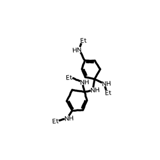 CCNC1=CCC(NCC)(NC2(NCC)C=CC(NCC)=CC2)C=C1